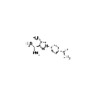 BC(P)c1nn(-c2ccc(C(C)=O)cc2)cc1N